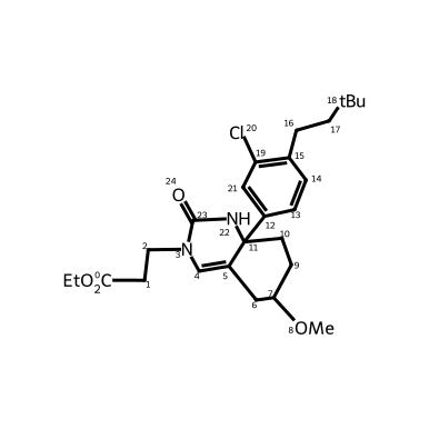 CCOC(=O)CCN1C=C2CC(OC)CCC2(c2ccc(CCC(C)(C)C)c(Cl)c2)NC1=O